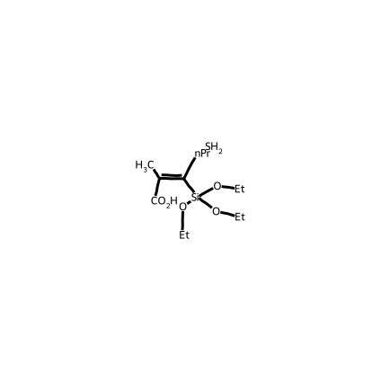 CCCC(=C(C)C(=O)O)[Si](OCC)(OCC)OCC.S